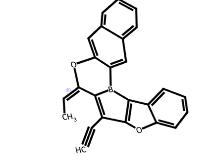 C#CC1=C2B(c3cc4ccccc4cc3O/C2=C/C)c2c1oc1ccccc21